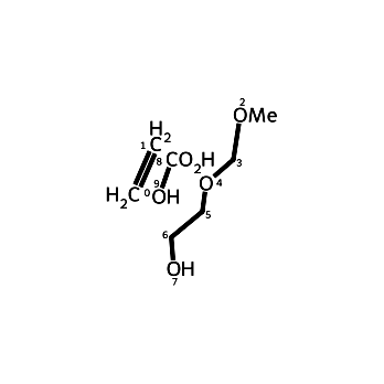 C=C.COCOCCO.O=C(O)O